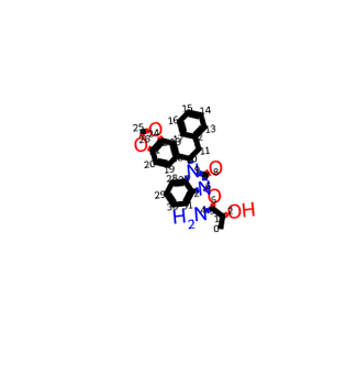 CC(O)C(N)On1c(=O)n(C(Cc2ccccc2)c2ccc3c(c2)OCO3)c2ccccc21